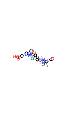 Cc1c(NC(=O)c2nc3c(n2C)CCN(C2CCOCC2)C3)cccc1-c1cccc(NC(=O)c2nc3c(n2C)CCN(C2CCC(C(=O)O)CC2)C3)c1Cl